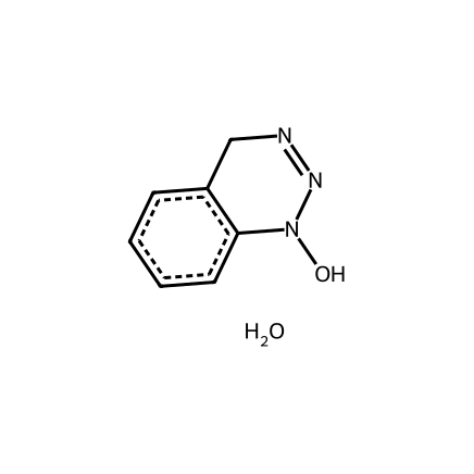 O.ON1N=NCc2ccccc21